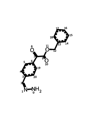 N/N=C\c1ccc(C(=O)C(=O)OCc2ccccc2)cc1